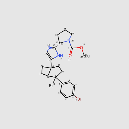 CCC1(c2ccc(Br)cc2)CCC2(c3cnc([C@@H]4CCCN4C(=O)OC(C)(C)C)[nH]3)CCC12